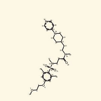 COCCOc1cc(C)c(S(=O)(=O)N(C)CCC(=O)N(C)CCC2CCN(c3ccncc3)CC2)c(C)c1